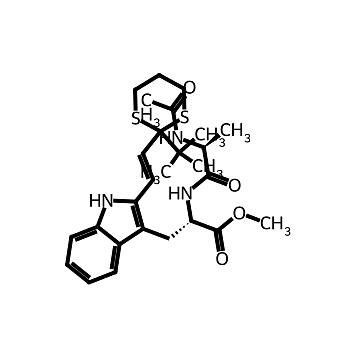 COC(=O)[C@H](Cc1c(/C=C/C2(C(C)(C)C)SCCCS2)[nH]c2ccccc12)NC(=O)[C@H](C)NC(C)=O